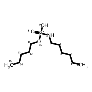 CCCCCCNP(=O)(O)OCCCCC